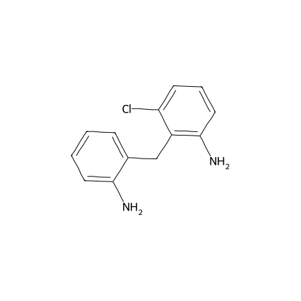 Nc1ccccc1Cc1c(N)cccc1Cl